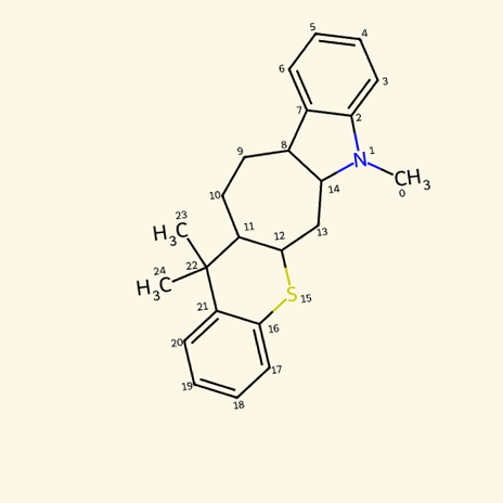 CN1c2ccccc2C2CCC3C(CC21)Sc1ccccc1C3(C)C